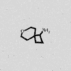 NC1CCC12CCOCC2